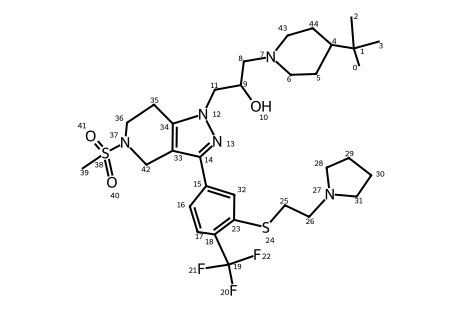 CC(C)(C)C1CCN(CC(O)Cn2nc(-c3ccc(C(F)(F)F)c(SCCN4CCCC4)c3)c3c2CCN(S(C)(=O)=O)C3)CC1